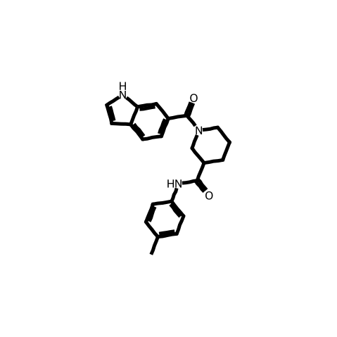 Cc1ccc(NC(=O)C2CCCN(C(=O)c3ccc4cc[nH]c4c3)C2)cc1